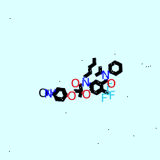 [C-]#[N+]c1ccc(OCC2(C)Oc3cc(C(F)(F)F)c(C(=O)N(C(C)C)C4CCCCC4)cc3N(CCCCC)C2=O)cc1